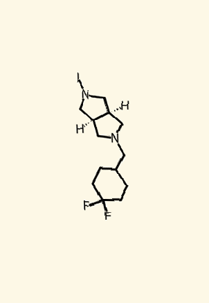 FC1(F)CCC(CN2C[C@H]3CN(I)C[C@H]3C2)CC1